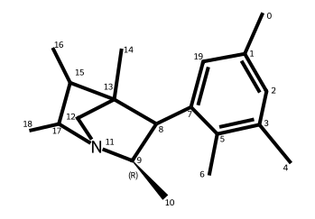 Cc1cc(C)c(C)c(C2[C@@H](C)N3CC2(C)C(C)C3C)c1